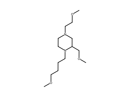 COCCCCN1CCN(CCOC)CC1COC